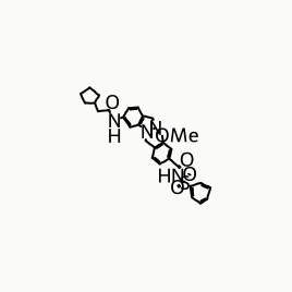 COc1cc(C(=O)NS(=O)(=O)c2ccccc2)ccc1Cn1ncc2ccc(NC(=O)CC3CCCC3)cc21